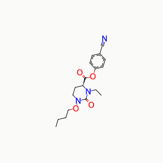 CCCCON1CC[C@@H](C(=O)Oc2ccc(C#N)cc2)N(CC)C1=O